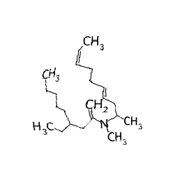 C=C(CC(CC)CCCCC)N(C)C(C)C/C=C/CC/C=C\C